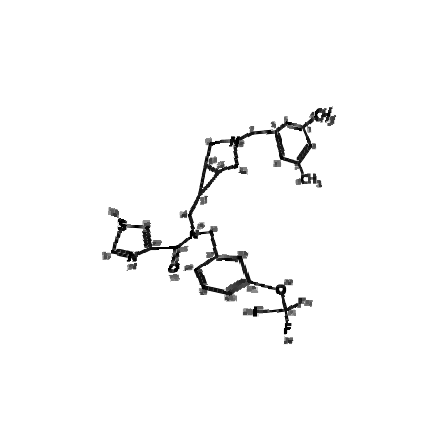 Cc1cc(C)cc(CN2CC3C(C2)C3CN(Cc2cccc(OC(F)(F)F)c2)C(=O)c2cscn2)c1